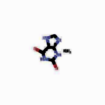 O=c1[nH]c(=O)c2[nH]cnc2[nH]1.[PbH4]